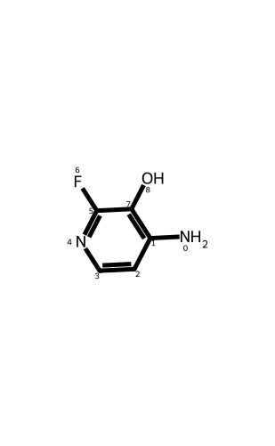 Nc1ccnc(F)c1O